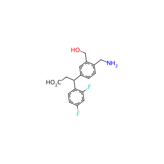 NCc1ccc(C(CC(=O)O)c2ccc(F)cc2F)cc1CO